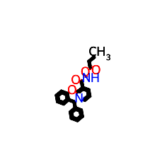 CCCC(=O)ONC(=O)c1cccn(C(c2ccccc2)c2ccccc2)c1=O